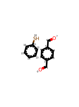 O=Cc1ccc(C=O)cc1.Sc1ccccc1